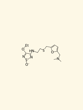 CCOc1n[s+]([O-])nc1NCCSCc1ccc(CN(C)C)o1